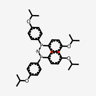 CC(C)Oc1ccc(P([N]P(c2ccc(OC(C)C)cc2)c2ccc(OC(C)C)cc2)c2ccc(OC(C)C)cc2)cc1